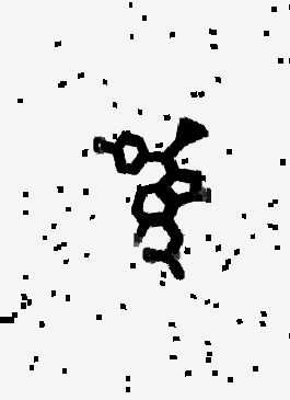 C[S+]([O-])Cc1c(F)ccc2c(C(c3ccc(Cl)cc3)C3CC3)c[nH]c12